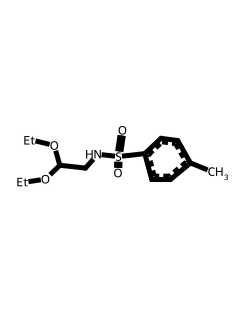 CCOC(CNS(=O)(=O)c1ccc(C)cc1)OCC